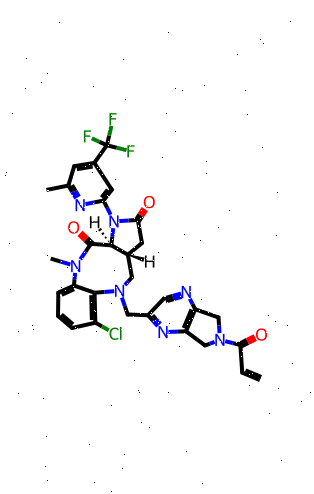 C=CC(=O)N1Cc2ncc(CN3C[C@H]4CC(=O)N(c5cc(C(F)(F)F)cc(C)n5)[C@@H]4C(=O)N(C)c4cccc(Cl)c43)nc2C1